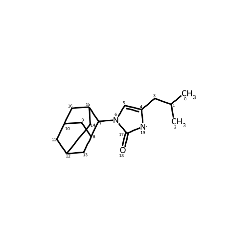 CC(C)CC1=CN(C2C3CC4CC(C3)CC2C4)C(=O)[N]1